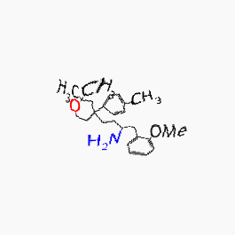 COc1ccccc1CC(N)CCC1(c2ccc(C)cc2)CCOC(C)(C)C1